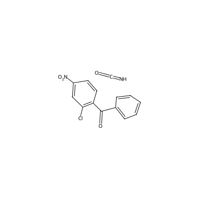 N=C=O.O=C(c1ccccc1)c1ccc([N+](=O)[O-])cc1Cl